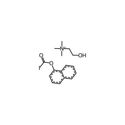 C[N+](C)(C)CCO.O=C(I)Oc1cccc2ccccc12